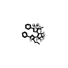 CCCc1sc(-c2ccccc2)cc1C1=C(C2=C([Si](C)(C)C)S(=O)(=O)C(c3ccccc3)=C2)C(F)(F)C(F)(F)C1(F)F